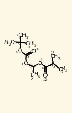 CC(OC(=O)OC(C)(C)C)OC(=O)C(C)C